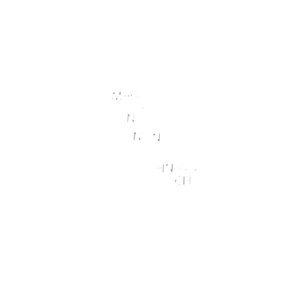 COc1cccc2c(N3CCC(CS(C)(=N)=O)CC3)ncnc12